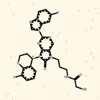 N#CCC(=O)NCCCn1c(=O)n([C@@H]2CCOc3c(F)cccc32)c2nc(-n3cnc4ccc(F)cc43)ncc21